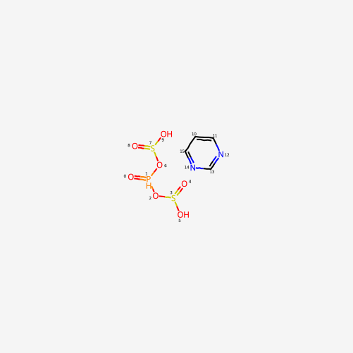 O=[PH](OS(=O)O)OS(=O)O.c1cncnc1